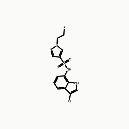 O=S(=O)(Nc1cccc2c(Cl)c[nH]c12)c1cnn(CCF)c1